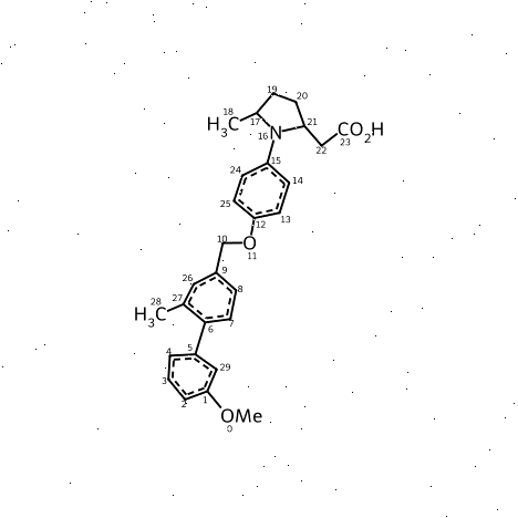 COc1cccc(-c2ccc(COc3ccc(N4C(C)CCC4CC(=O)O)cc3)cc2C)c1